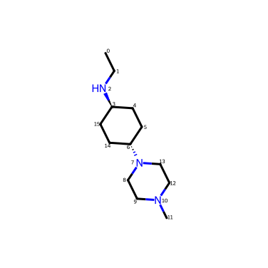 CCN[C@H]1CC[C@H](N2CCN(C)CC2)CC1